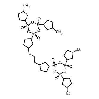 CCC1CCC(P2(=O)OP(=O)(C3CCC(CC)C3)OP(=O)(C3CCC(CCCC4CCC(P5(=O)OP(=O)(C6CCC(C)C6)OP(=O)(C6CCC(C)C6)O5)C4)C3)O2)C1